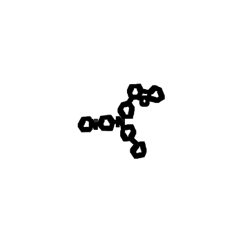 C1=CCN(c2ccc(N(c3ccc(-c4ccccc4)cc3)c3ccc(-c4cccc5c4oc4ccccc45)cc3)cc2)C=C1